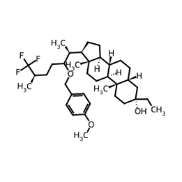 CC[C@@]1(O)CC[C@@]2(C)[C@H](CC[C@@H]3[C@@H]2CC[C@]2(C)[C@@H]([C@H](C)C(CC[C@@H](C)C(F)(F)F)OCc4ccc(OC)cc4)CC[C@@H]32)C1